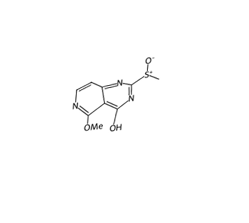 COc1nccc2nc([S+](C)[O-])nc(O)c12